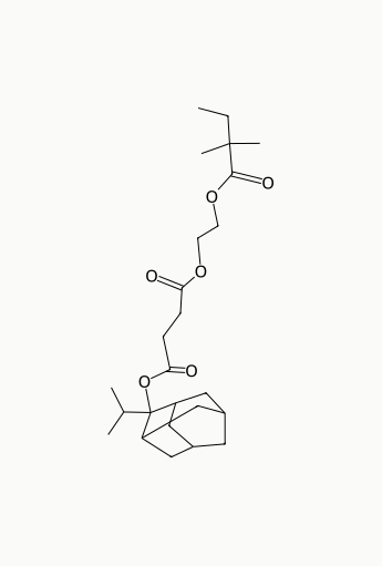 CCC(C)(C)C(=O)OCCOC(=O)CCC(=O)OC1(C(C)C)C2CC3CC(C2)CC1C3